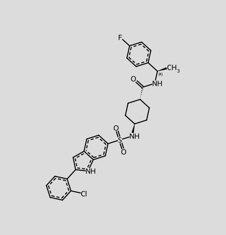 C[C@@H](NC(=O)[C@H]1CC[C@H](NS(=O)(=O)c2ccc3cc(-c4ccccc4Cl)[nH]c3c2)CC1)c1ccc(F)cc1